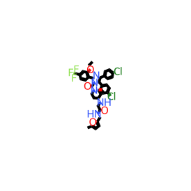 CCOc1cc(C(F)(F)F)ccc1C1=NC(c2ccc(Cl)cc2)C(c2ccc(Cl)cc2)N1C(=O)N1CCC(NCC(=O)NCc2ccc(C)o2)CC1